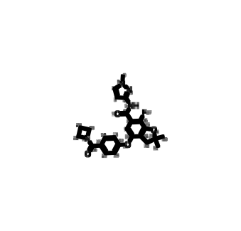 Cn1ccc(NC(=O)c2cc(Oc3ccc(C(=O)N4CCC4)cc3)c3c(c2F)OC(C)(C)C3)n1